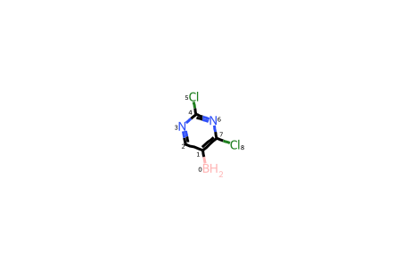 Bc1cnc(Cl)nc1Cl